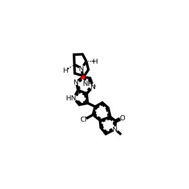 Cn1ccc2c(Cl)c(-c3c[nH]c4nc(N5[C@@H]6CC[C@H]5C[C@@H](N)C6)cnc34)ccc2c1=O